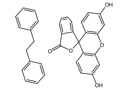 O=C1OC2(c3ccc(O)cc3Oc3cc(O)ccc32)c2ccccc21.c1ccc(CCc2ccccc2)cc1